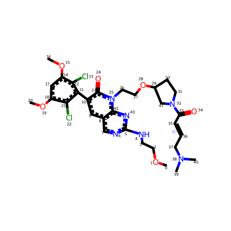 COCCNc1ncc2cc(-c3c(Cl)c(OC)cc(OC)c3Cl)c(=O)n(CCOC3CCN(C(=O)/C=C/CN(C)C)C3)c2n1